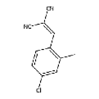 Cc1cc(Cl)ccc1C=C(C#N)C#N